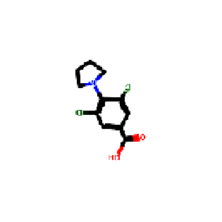 O=C(O)c1cc(Cl)c(N2CCCC2)c(Cl)c1